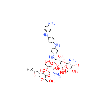 CC(=O)CC1COC(CO)C(OC2OC(CO)C(OC3OC(CO)C(OC4OC(CO)C(O)C(O)C4N)C(O)C3Nc3ccc(Nc4ccc(Nc5ccc(N)cc5)cc4)cc3)C(O)C2N)C1O